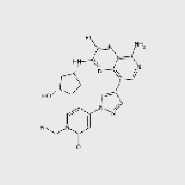 CCc1nc2c(N)ncc(-c3cnn(-c4ccn(CC(C)C)c(=O)c4)c3)c2nc1N[C@@H]1CC[C@H](O)C1